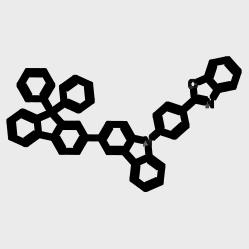 c1ccc(C2(c3ccccc3)c3ccccc3-c3ccc(-c4ccc5c(c4)c4ccccc4n5-c4ccc(-c5nc6ccccc6o5)cc4)cc32)cc1